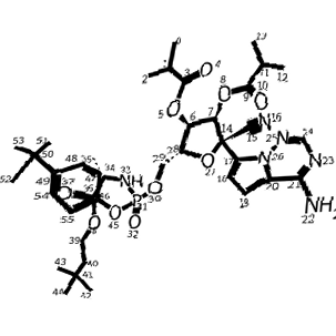 CC(C)C(=O)O[C@H]1[C@@H](OC(=O)C(C)C)[C@](C#N)(c2ccc3c(N)ncnn23)O[C@@H]1COP(=O)(N[C@@H](C)C(=O)OCCC(C)(C)C)Oc1ccc(C(C)(C)C)cc1